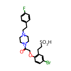 O=C(COc1ccc(Br)cc1CCS(=O)(=O)O)N1CCN(CCc2ccc(F)cc2)CC1